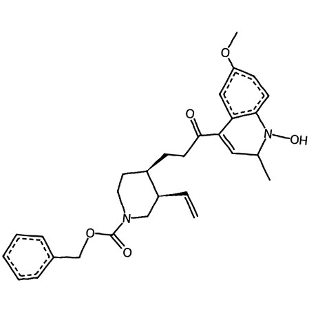 C=C[C@H]1CN(C(=O)OCc2ccccc2)CC[C@H]1CCC(=O)C1=CC(C)N(O)c2ccc(OC)cc21